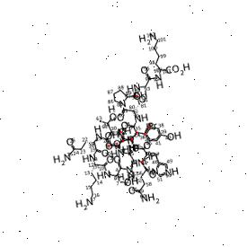 CC(C)C[C@H](NC(=O)[C@H](CO)NC(=O)[C@H](CCCCN)NC(=O)[C@H](CCC(N)=O)NC(=O)[C@@H](NC(=O)[C@H](Cc1ccc(O)cc1)NC(=O)[C@H](Cc1c[nH]cn1)NC(=O)[C@@H](N)CC(N)=O)[C@@H](C)O)C(=O)N[C@@H](CO)C(=O)N[C@@H](CC(C)C)C(=O)N[C@@H](CO)C(=O)N1CCC[C@H]1C(=O)NCC(=O)N[C@@H](CCCCN)C(=O)O